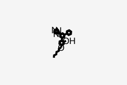 CCCCCCOc1ccc(-c2cc(-c3ccccc3)cc(-c3ncncn3)c2)c(O)c1